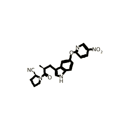 C[C@@H](Cc1c[nH]c2ccc(Oc3ccc([N+](=O)[O-])cn3)cc12)C(=O)N1CCC[C@H]1C#N